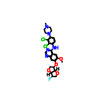 COc1cc2c(Nc3ccc(N4CCN(C)CC4)c(Cl)c3Cl)ncnc2cc1OC1CO[C@H]2[C@H](F)CO[C@@H]12